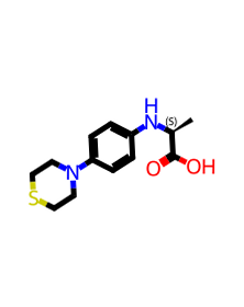 C[C@H](Nc1ccc(N2CCSCC2)cc1)C(=O)O